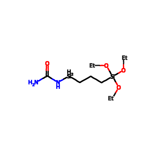 CCO[Si](CCC[SiH2]NC(N)=O)(OCC)OCC